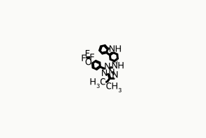 CC(C)c1cnn2c(N[C@@H]3CCc4[nH]c5ccccc5c4C3)nc(-c3ccc(OC(F)(F)F)cc3)nc12